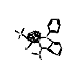 CC(N(C)C)[C]12[C]3(P(c4ccccc4)c4ccccc4)[CH]4[C]5([Si](C)(C)C)[C]1(Br)[Fe]43251678[CH]2[CH]1[CH]6[CH]7[CH]28